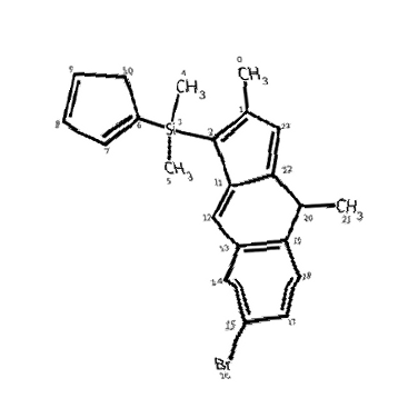 CC1=C([Si](C)(C)C2=CC=CC2)C2=Cc3cc(Br)ccc3C(C)C2=C1